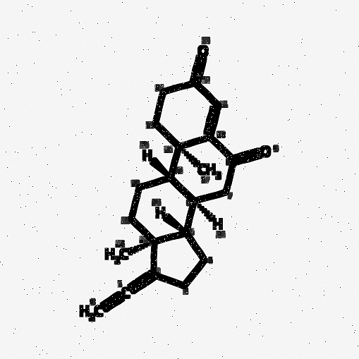 C=C=C1CC[C@H]2[C@@H]3CC(=O)C4=CC(=O)CC[C@]4(C)[C@H]3CC[C@]12C